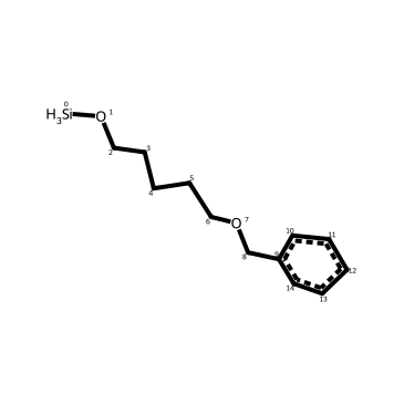 [SiH3]OCCCCCOCc1ccccc1